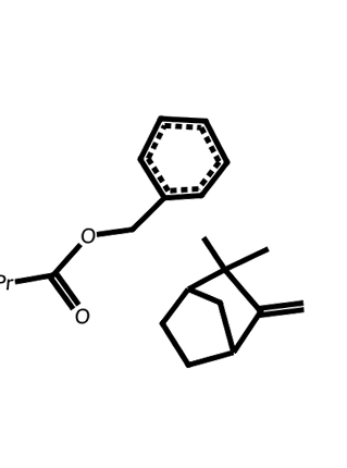 C=C1C2CCC(C2)C1(C)C.CCCC(=O)OCc1ccccc1